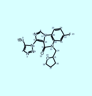 CC(C)(C)c1cnnn1-c1ncn2c1c(=O)n(CC1CCCO1)c1cc(F)ccc12